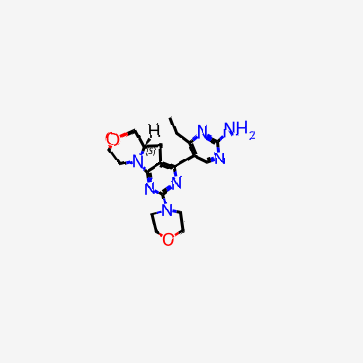 CCc1nc(N)ncc1-c1nc(N2CCOCC2)nc2c1C[C@H]1COCCN21